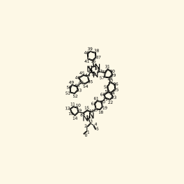 C=C/C=C(\C=C)c1nc(-c2ccccc2)cc(-c2ccc(-c3ccc4ccc(-c5cccc(-c6nc(-c7ccccc7)nc(-c7ccc(-c8ccccc8)cc7)n6)c5)cc4c3)cc2)n1